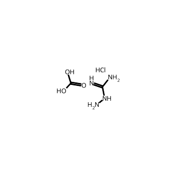 Cl.N=C(N)NN.O=C(O)O